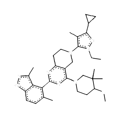 CCn1nc(C2CC2)c(Cl)c1N1CCc2nc(-c3c(C)ccc4[nH]nc(C)c34)nc(N3CCC(OC)C(C)(C)C3)c2C1